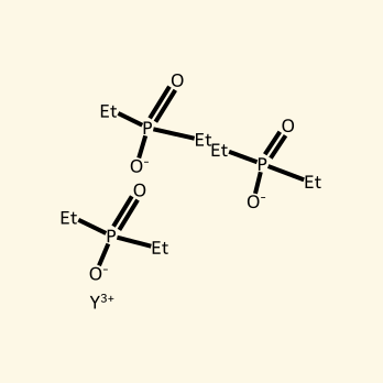 CCP(=O)([O-])CC.CCP(=O)([O-])CC.CCP(=O)([O-])CC.[Y+3]